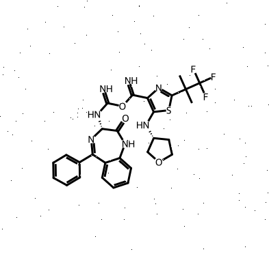 CC(C)(c1nc(C(=N)OC(=N)N[C@H]2N=C(c3ccccc3)c3ccccc3NC2=O)c(N[C@@H]2CCOC2)s1)C(F)(F)F